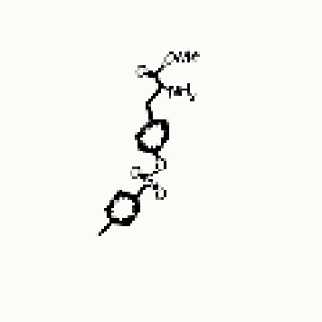 COC(=O)[C@@H](N)Cc1ccc(OS(=O)(=O)c2ccc(C)cc2)cc1